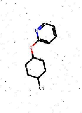 N#CC1CCC(Oc2ccccn2)CC1